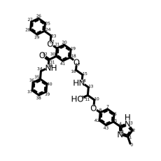 Cc1c[nH]c(-c2ccc(OCC(O)CNCCOc3ccc(OCc4ccccc4)c(C(=O)NCc4ccccc4)c3)cc2)n1